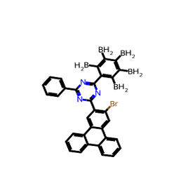 Bc1c(B)c(B)c(-c2nc(-c3ccccc3)nc(-c3cc4c5ccccc5c5ccccc5c4cc3Br)n2)c(B)c1B